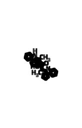 C/C(C1=Nc2ccccc2C12CCCC2)=C1/C(=O)C(C(/C)=C2/Nc3ccccc3C23CCCC3)=C1O